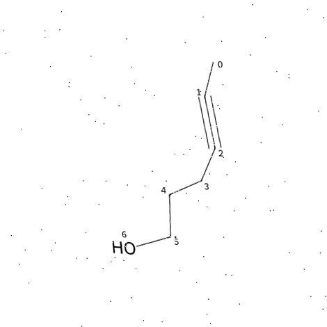 CC#CCC[CH]O